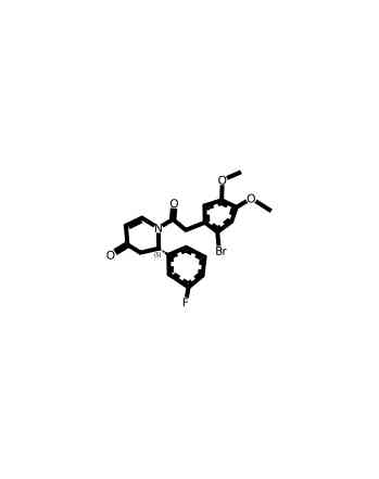 COc1cc(Br)c(CC(=O)N2C=CC(=O)C[C@H]2c2cccc(F)c2)cc1OC